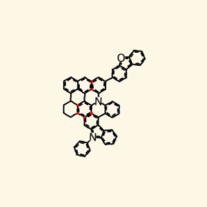 c1ccc(-n2c3ccccc3c3c(-c4ccccc4N(c4cccc(-c5ccc6c(c5)oc5ccccc56)c4)c4ccccc4-c4cccc5cccc(C6CCCCC6)c45)cccc32)cc1